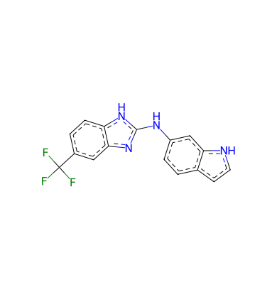 FC(F)(F)c1ccc2[nH]c(Nc3ccc4cc[nH]c4c3)nc2c1